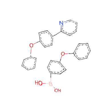 OB(O)c1ccc(Oc2ccccc2)cc1.c1ccc(Oc2ccc(-c3ccccn3)cc2)cc1